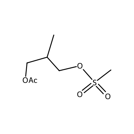 CC(=O)OCC(C)COS(C)(=O)=O